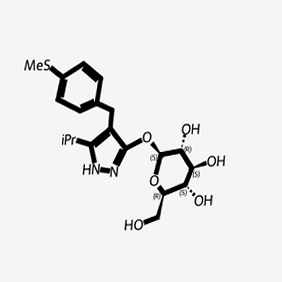 CSc1ccc(Cc2c(O[C@@H]3O[C@H](CO)[C@@H](O)[C@H](O)[C@H]3O)n[nH]c2C(C)C)cc1